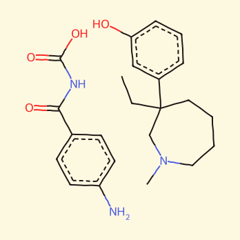 CCC1(c2cccc(O)c2)CCCCN(C)C1.Nc1ccc(C(=O)NC(=O)O)cc1